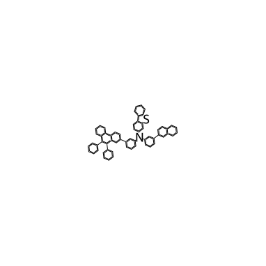 c1ccc(-c2c(-c3ccccc3)c3cc(-c4cccc(N(c5cccc(-c6ccc7ccccc7c6)c5)c5ccc6c(c5)sc5ccccc56)c4)ccc3c3ccccc23)cc1